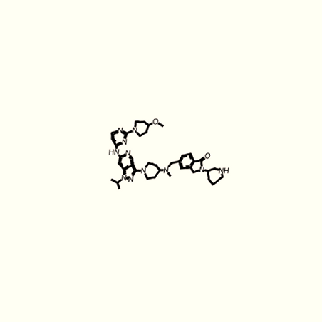 COC1CCN(c2nccc(Nc3cc4c(cn3)c(N3CCC(N(C)Cc5ccc6c(c5)CN(C5CCCNC5)C6=O)CC3)nn4C(C)C)n2)CC1